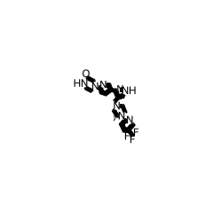 C[C@@H]1CN(Cc2c[nH]nc2-c2ccc(N3CCNC(=O)C3)nc2)CCN1c1ccc(C(F)(F)F)cn1